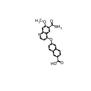 COc1cc2nccc(Oc3ccc4cc(C(=O)O)ccc4c3)c2cc1C(N)=O